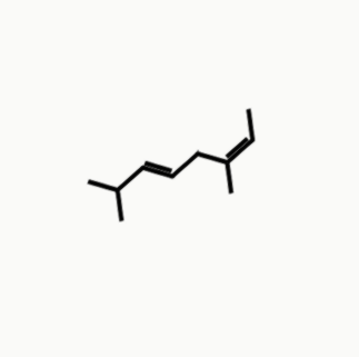 CC=C(C)[CH]C=CC(C)C